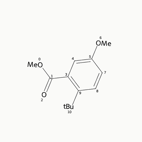 COC(=O)c1cc(OC)ccc1C(C)(C)C